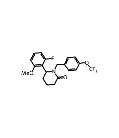 COc1cccc(F)c1C1CCCC(=O)N1Cc1ccc(OC(F)(F)F)cc1